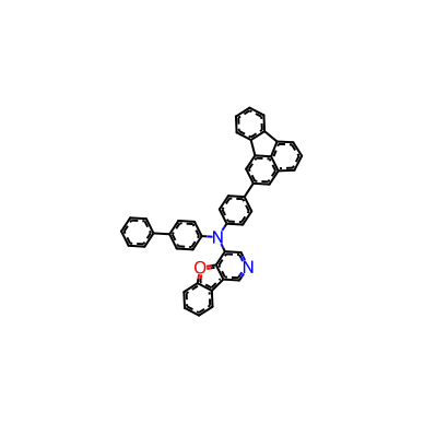 c1ccc(-c2ccc(N(c3ccc(-c4cc5c6c(cccc6c4)-c4ccccc4-5)cc3)c3cncc4c3oc3ccccc34)cc2)cc1